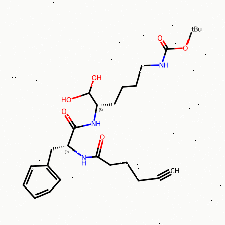 C#CCCCC(=O)N[C@H](Cc1ccccc1)C(=O)N[C@@H](CCCCNC(=O)OC(C)(C)C)C(O)O